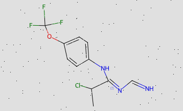 CC(Cl)/C(=N/C=N)Nc1ccc(OC(F)(F)F)cc1